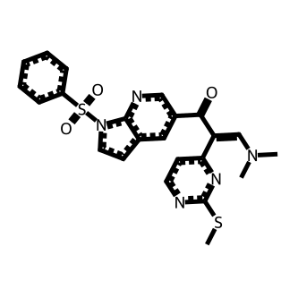 CSc1nccc(C(=CN(C)C)C(=O)c2cnc3c(ccn3S(=O)(=O)c3ccccc3)c2)n1